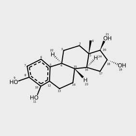 C[C@]12CC[C@@H]3c4ccc(O)c(O)c4CC[C@H]3[C@@H]1C[C@@H](O)[C@@H]2O